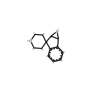 c1ccc2c(c1)C1OC1C21CCOCC1